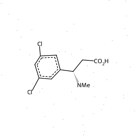 CN[C@@H](CC(=O)O)c1cc(Cl)cc(Cl)c1